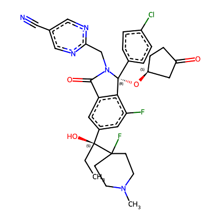 CC[C@](O)(c1cc(F)c2c(c1)C(=O)N(Cc1ncc(C#N)cn1)[C@@]2(O[C@H]1CCC(=O)C1)c1ccc(Cl)cc1)C1(F)CCN(C)CC1